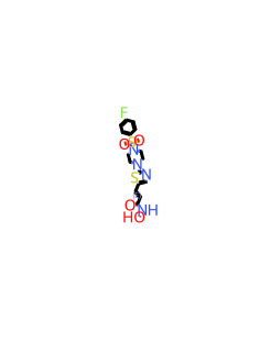 O=C(/C=C/c1cnc(N2CCN(S(=O)(=O)c3ccc(F)cc3)CC2)s1)NO